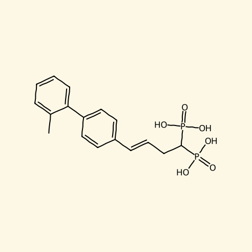 Cc1ccccc1-c1ccc(/C=C/CC(P(=O)(O)O)P(=O)(O)O)cc1